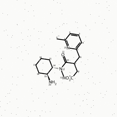 Cc1cccc(CC(CC(=O)O)C(=O)N(C)[C@H]2CCCC[C@@H]2N)n1